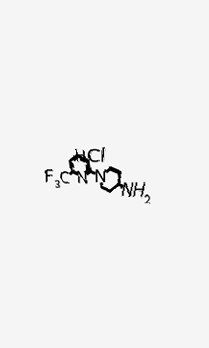 Cl.NC1CCN(c2cccc(C(F)(F)F)n2)CC1